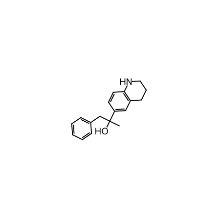 CC(O)(Cc1ccccc1)c1ccc2c(c1)CCCN2